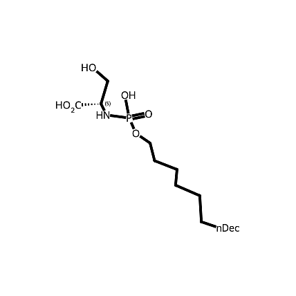 CCCCCCCCCCCCCCCCOP(=O)(O)N[C@@H](CO)C(=O)O